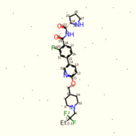 CCC(F)(F)CN1CCC(COc2ccc(-c3ccc(C(=O)NC(=O)[C@@H]4CCCN4)c(F)c3)cn2)CC1